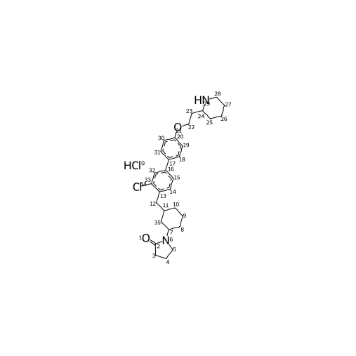 Cl.O=C1CCCN1C1CCCC(Cc2ccc(-c3ccc(OCCC4CCCCN4)cc3)cc2Cl)C1